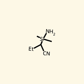 CCC(C#N)[Si](C)(C)N